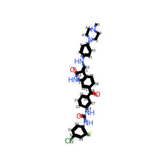 CN1CCN(c2ccc(NC=C3C(=O)Nc4cc(C(=O)c5cccc(NC(=O)Nc6ccc(Cl)cc6F)c5)ccc43)cc2)CC1